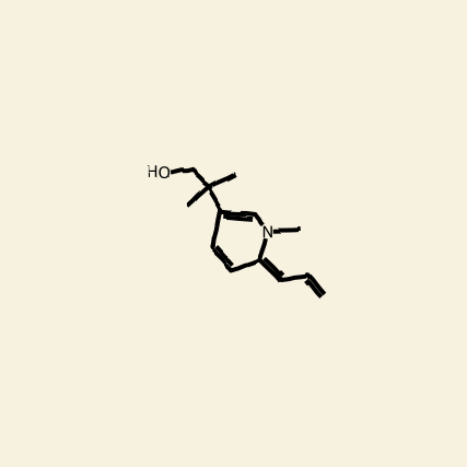 C=C/C=C1/C=CC(C(C)(C)CO)=CN1C